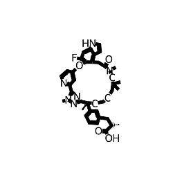 C[C@@H](Cc1cccc([C@@]2(C)CCCCC(C)(C)CN(C)C(=O)Cc3c(c(F)cc4[nH]ccc34)Oc3ccnc(c3)-c3nc2nn3C)c1)C(=O)O